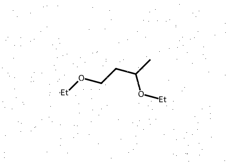 C[CH]OCCC(C)OCC